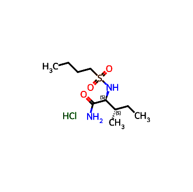 CCCCS(=O)(=O)N[C@H](C(N)=O)[C@@H](C)CC.Cl